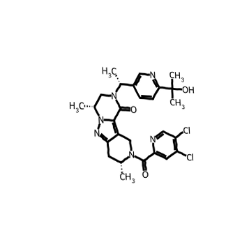 C[C@@H]1Cc2nn3c(c2CN1C(=O)c1cc(Cl)c(Cl)cn1)C(=O)N([C@H](C)c1ccc(C(C)(C)O)nc1)C[C@H]3C